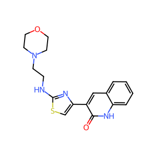 O=c1[nH]c2ccccc2cc1-c1csc(NCCN2CCOCC2)n1